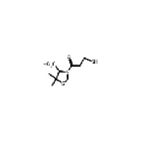 CC1(C)SCN(C(=O)CCS)C1C(=O)O